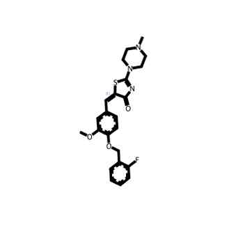 COc1cc(/C=C2/SC(N3CCN(C)CC3)=NC2=O)ccc1OCc1ccccc1F